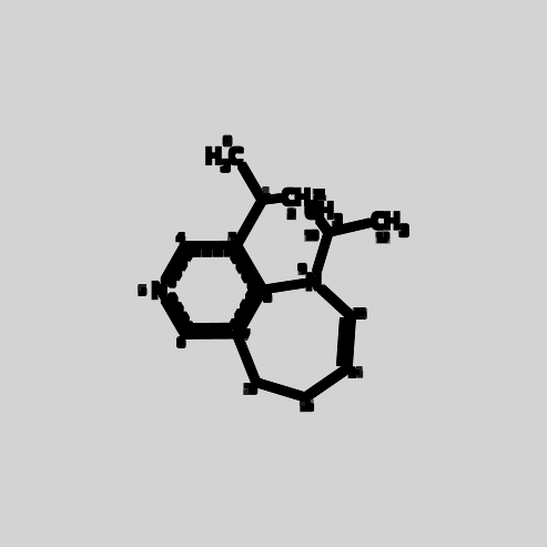 CC(C)c1cncc2c1N(C(C)C)C=CCC2